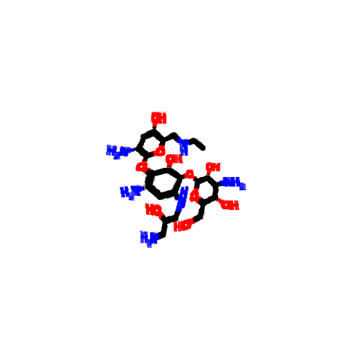 CCNC[C@H]1O[C@H](OC2[C@@H](N)C[C@@H](NCC(O)CN)[C@H](O[C@H]3O[C@H](CO)[C@@H](O)[C@H](N)[C@H]3O)[C@H]2O)[C@H](N)C[C@@H]1O